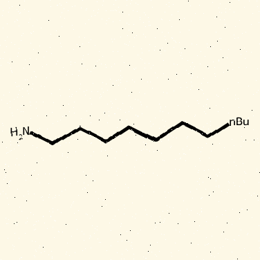 CCCCCCCCC[CH]CN